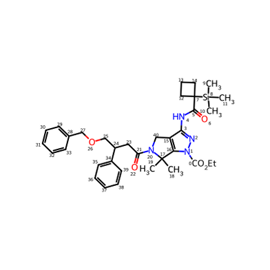 CCOC(=O)n1nc(NC(=O)C2([Si](C)(C)C)CCC2)c2c1C(C)(C)N(C(=O)CC(COCc1ccccc1)c1ccccc1)C2